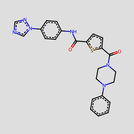 O=C(Nc1ccc(-n2cncn2)cc1)c1ccc(C(=O)N2CCN(c3ccccc3)CC2)s1